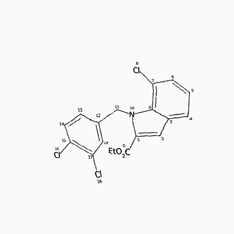 CCOC(=O)c1cc2cccc(Cl)c2n1Cc1ccc(Cl)c(Cl)c1